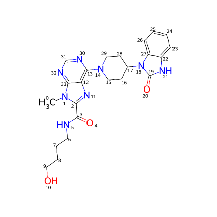 Cn1c(C(=O)NCCCCO)nc2c(N3CCC(n4c(=O)[nH]c5ccccc54)CC3)ncnc21